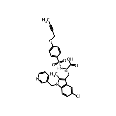 CC#CCOc1ccc(S(=O)(=O)N[C@@H](Cc2c(C)n(Cc3cccnc3)c3ccc(Cl)cc23)C(=O)O)cc1